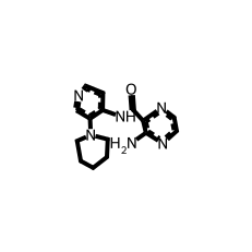 Nc1nccnc1C(=O)Nc1ccncc1N1CCCCC1